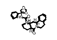 O=C(N[C@@]1(c2ccccc2)COCO1)N1CCC[C@H]2C(=O)N3CCc4ccccc4[C@@H]3C[C@H]21